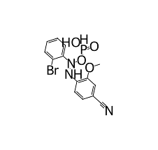 COc1cc(C#N)ccc1NN(O[PH](=O)O)c1ccccc1Br